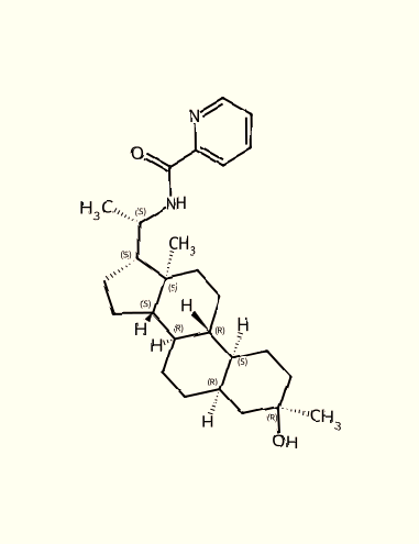 C[C@H](NC(=O)c1ccccn1)[C@H]1CC[C@H]2[C@@H]3CC[C@@H]4C[C@](C)(O)CC[C@@H]4[C@H]3CC[C@]12C